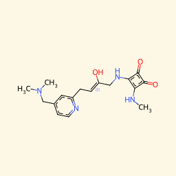 CNc1c(NC/C(O)=C/Cc2cc(CN(C)C)ccn2)c(=O)c1=O